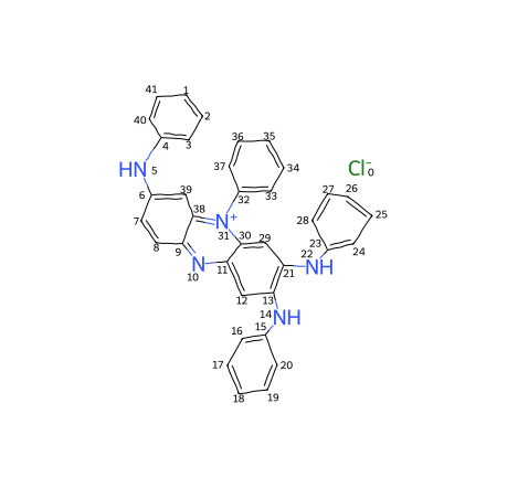 [Cl-].c1ccc(Nc2ccc3nc4cc(Nc5ccccc5)c(Nc5ccccc5)cc4[n+](-c4ccccc4)c3c2)cc1